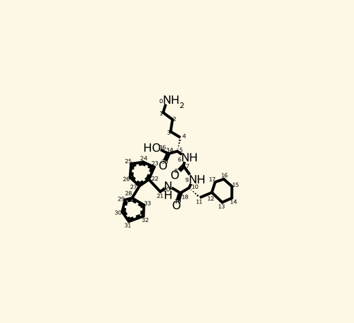 NCCCC[C@H](NC(=O)N[C@H](CC1CCCCC1)C(=O)NCc1ccccc1-c1ccccc1)C(=O)O